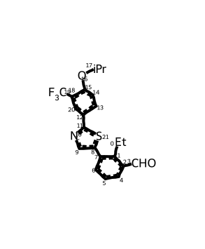 CCc1c(C=O)cccc1-c1cnc(-c2ccc(OC(C)C)c(C(F)(F)F)c2)s1